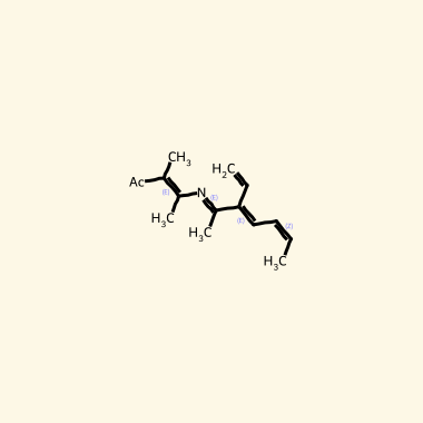 C=CC(=C\C=C/C)/C(C)=N/C(C)=C(\C)C(C)=O